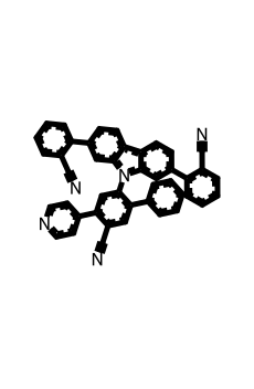 N#Cc1ccccc1-c1ccc2c3ccc(-c4ccccc4C#N)cc3n(-c3cc(-c4ccncc4)c(C#N)cc3-c3ccccc3)c2c1